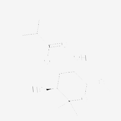 CO[C@@H]1OC(C)(C)[C@@H](O)[C@H](OC(=O)C(C)C)[C@@H]1O